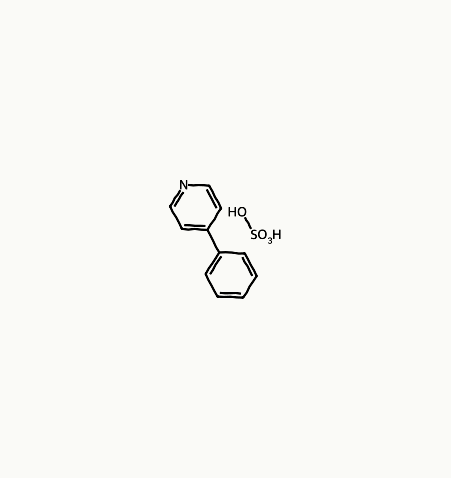 O=S(=O)(O)O.c1ccc(-c2ccncc2)cc1